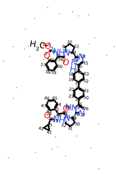 COC(=O)N[C@@H](C(=O)N1CCC[C@H]1c1ncc(-c2ccc(-c3ccc(-c4cnc([C@@H]5CCCN5C(=O)[C@H](NC(=O)C5CC5)c5ccccc5)[nH]4)cc3)cc2)[nH]1)c1ccccc1